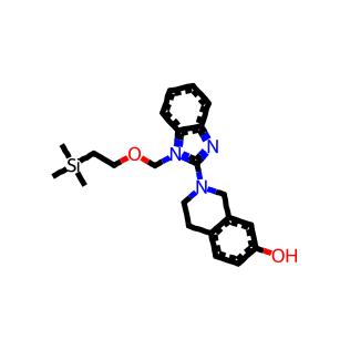 C[Si](C)(C)CCOCn1c(N2CCc3ccc(O)cc3C2)nc2ccccc21